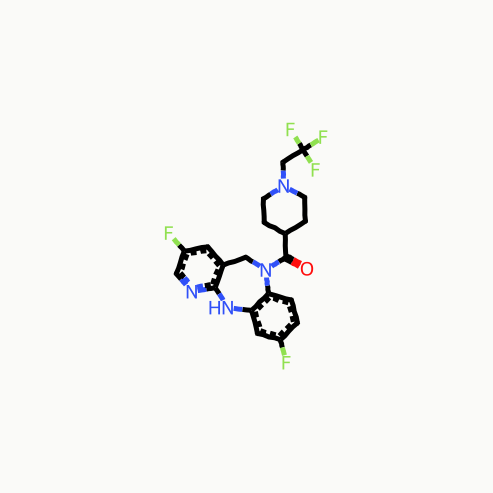 O=C(C1CCN(CC(F)(F)F)CC1)N1Cc2cc(F)cnc2Nc2cc(F)ccc21